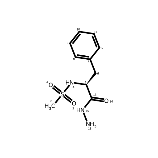 CS(=O)(=O)N[C@@H](Cc1ccccc1)C(=O)NN